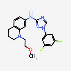 COCCN1CCCc2ccc(Nc3ncn(-c4cc(F)cc(F)c4)n3)cc21